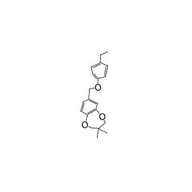 CCc1ccc(OCc2ccc3c(c2)OCC(C)(C)CO3)cc1